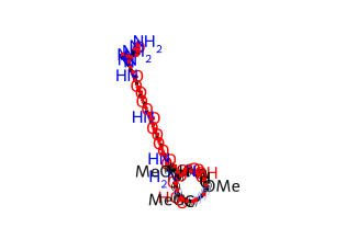 CO[C@H]1C[C@@H]2CC[C@@H](C)[C@@](O)(O2)C(=O)C(=O)N2CCCC[C@H]2C(=O)O[C@H]([C@H](N)C[C@@H]2CC[C@@H](OC(=O)NCCOCCOCCOCCOCCC(=O)NCCOCCOCCOCCOCCC(=O)NCCCCn3nc(-c4ccc5oc(N)nc5c4)c4c(N)ncnc43)[C@H](OC)C2)CC(=O)[C@H](C)/C=C(\C)[C@@H](O)[C@@H](OC)C(=O)[C@H](C)C[C@H](C)/C=C/C=C/C=C/1C